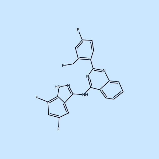 FCc1cc(F)ccc1-c1nc(Nc2n[nH]c3c(F)cc(F)cc23)c2ccccc2n1